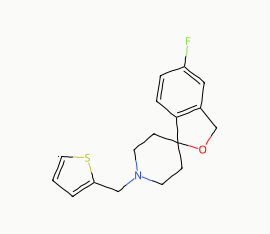 Fc1ccc2c(c1)COC21CCN(Cc2cc[c]s2)CC1